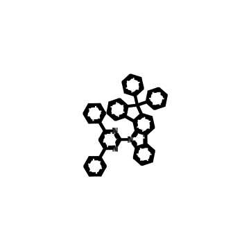 c1ccc(-c2cc(-c3ccccc3)nc(-n3c4ccccc4c4ccc5c(c43)-c3ccccc3C5(c3ccccc3)c3ccccc3)n2)cc1